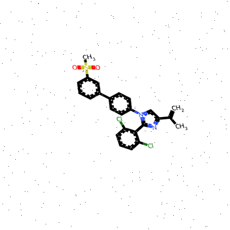 C=C(C)c1cn(-c2ccc(-c3cccc(S(C)(=O)=O)c3)cc2)c(-c2c(Cl)cccc2Cl)n1